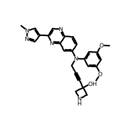 COc1cc(OC)cc(N(CC#CC2(O)CNC2)c2ccc3ncc(-c4cnn(C)c4)nc3c2)c1